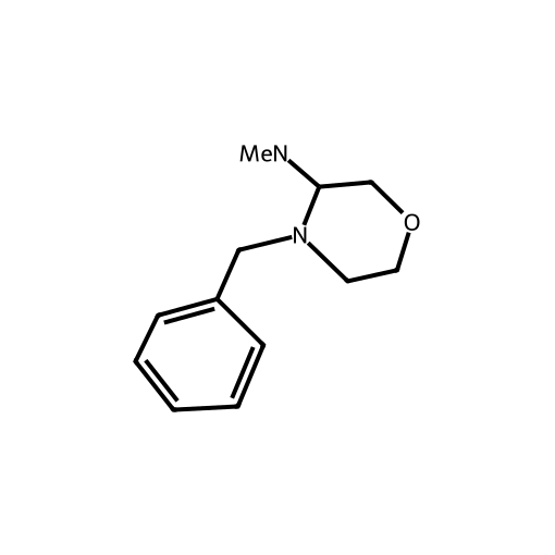 CNC1COCCN1Cc1ccccc1